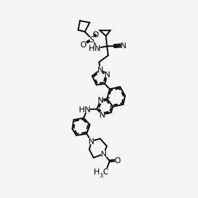 CC(=O)N1CCN(c2cccc(Nc3ncc4cccc(-c5ccn(CCC(C#N)(NS(=O)(=O)C6CCC6)C6CC6)n5)c4n3)c2)CC1